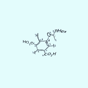 CCCCCCC(C)Oc1c(I)c(C(=O)O)c(I)c(C(=O)O)c1I